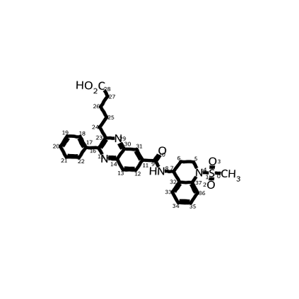 CS(=O)(=O)N1CCC(NC(=O)c2ccc3nc(-c4ccccc4)c(CCCCC(=O)O)nc3c2)c2ccccc21